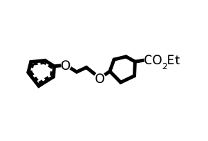 CCOC(=O)C1CCC(OCCOc2ccccc2)CC1